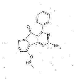 CPOc1cccc2c1-c1nc(N)nc(-c3ccccc3)c1C2=O